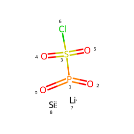 O=P(=O)S(=O)(=O)Cl.[Li].[Si]